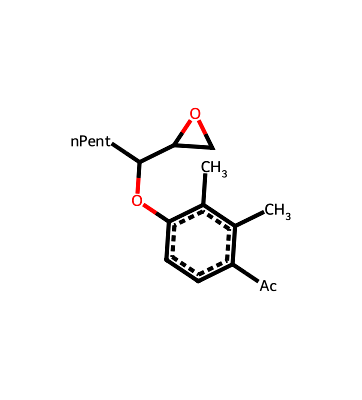 CCCCCC(Oc1ccc(C(C)=O)c(C)c1C)C1CO1